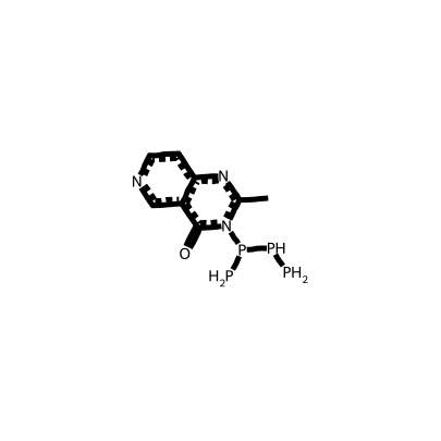 Cc1nc2ccncc2c(=O)n1P(P)PP